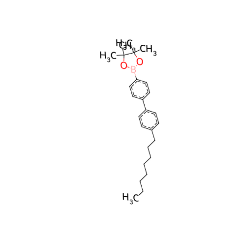 CCCCCCCCc1ccc(-c2ccc(B3OC(C)(C)C(C)(C)O3)cc2)cc1